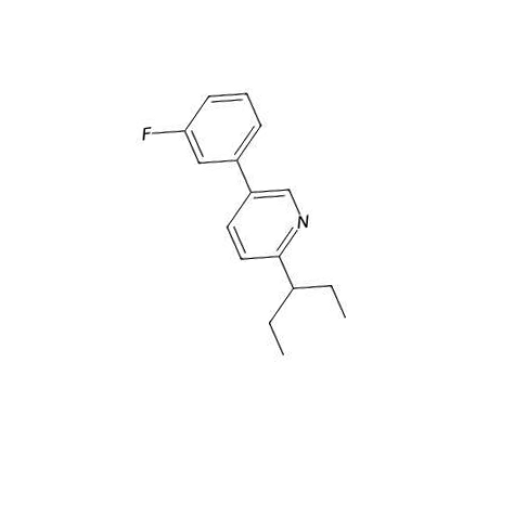 CCC(CC)c1ccc(-c2cccc(F)c2)cn1